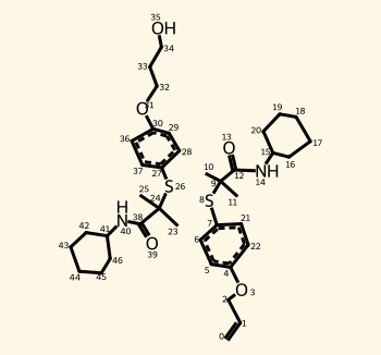 C=CCOc1ccc(SC(C)(C)C(=O)NC2CCCCC2)cc1.CC(C)(Sc1ccc(OCCCO)cc1)C(=O)NC1CCCCC1